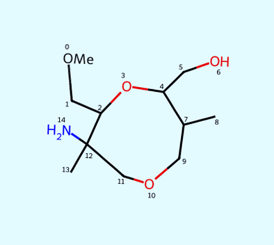 COCC1OC(CO)C(C)COCC1(C)N